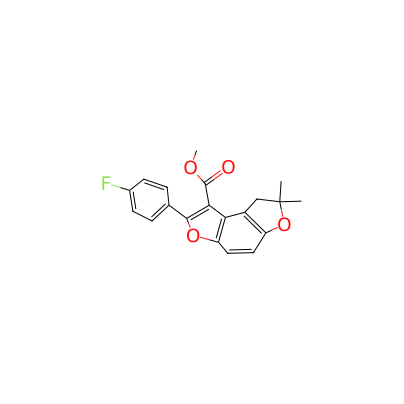 COC(=O)c1c(-c2ccc(F)cc2)oc2ccc3c(c12)CC(C)(C)O3